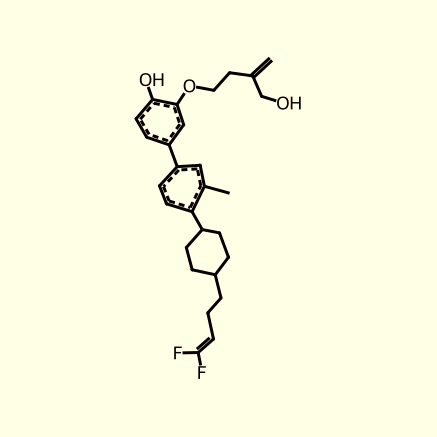 C=C(CO)CCOc1cc(-c2ccc(C3CCC(CCC=C(F)F)CC3)c(C)c2)ccc1O